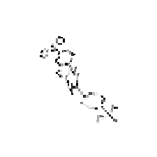 CS(=O)(=O)c1ccc2c(c1)sc1nc(-c3ccc(C(F)(F)F)cc3)cn12